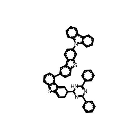 C1=c2sc3cccc(-c4ccc5sc6cc(-n7c8ccccc8c8ccccc87)ccc6c5c4)c3c2=CC(C2N=C(c3ccccc3)N=C(c3ccccc3)N2)C1